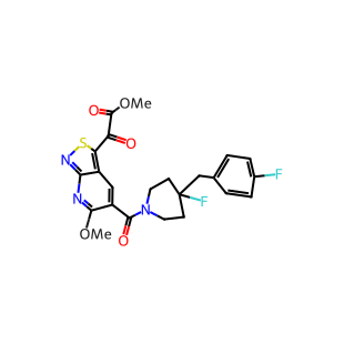 COC(=O)C(=O)c1snc2nc(OC)c(C(=O)N3CCC(F)(Cc4ccc(F)cc4)CC3)cc12